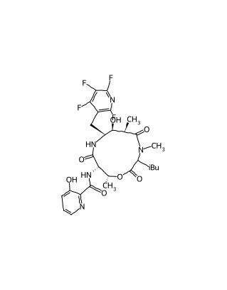 CCC(C)C1C(=O)O[C@H](C)[C@H](NC(=O)c2ncccc2O)C(=O)N[C@@H](Cc2c(F)nc(F)c(F)c2F)[C@@H](O)[C@@H](C)C(=O)N1C